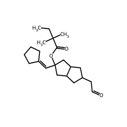 CCC(C)(C)C(=O)OC1(C=C2CCCC2)CC2CC(CC=O)CC2C1